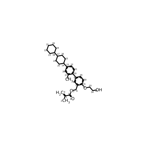 C=C(C)C(=O)OCc1cc(-c2ccc(C3CCC(C4CCCCC4)CC3)cc2C)ccc1OCCO